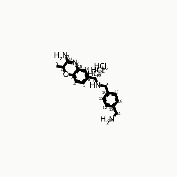 CC1Oc2ccc(CNCc3ccc(CN)cc3)cc2N=C1N.Cl.Cl.Cl